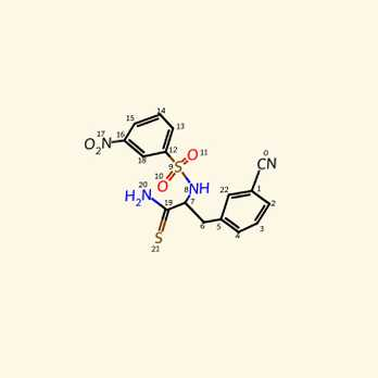 N#Cc1cccc(CC(NS(=O)(=O)c2cccc([N+](=O)[O-])c2)C(N)=S)c1